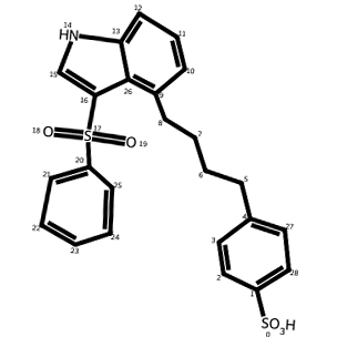 O=S(=O)(O)c1ccc(CCCCc2cccc3[nH]cc(S(=O)(=O)c4ccccc4)c23)cc1